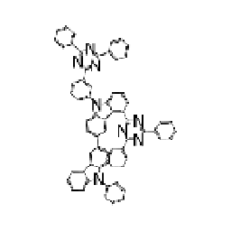 c1ccc(-c2nc(-c3ccccc3)nc(-c3cccc(-n4c5ccc(-c6ccc7c(c6)c6ccccc6n7-c6ccccc6)cc5c5c(-c6nc(-c7ccccc7)nc(-c7ccccc7)n6)cccc54)c3)n2)cc1